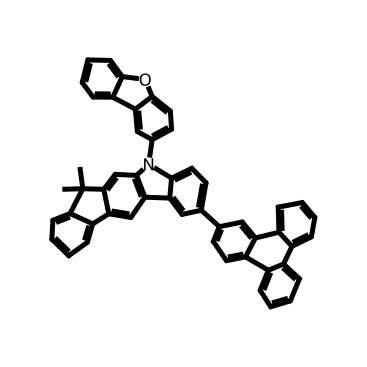 CC1(C)c2ccccc2-c2cc3c4cc(-c5ccc6c7ccccc7c7ccccc7c6c5)ccc4n(-c4ccc5oc6ccccc6c5c4)c3cc21